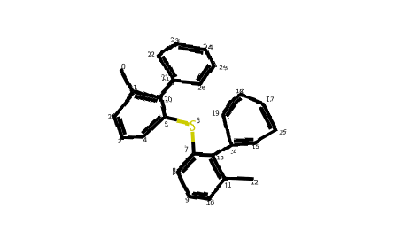 Cc1cccc(Sc2cccc(C)c2-c2ccccc2)c1-c1ccccc1